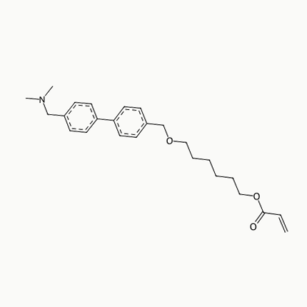 C=CC(=O)OCCCCCCOCc1ccc(-c2ccc(CN(C)C)cc2)cc1